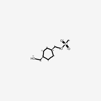 CS(=O)(=O)OC[C@H]1CC[C@@H](CO)CC1